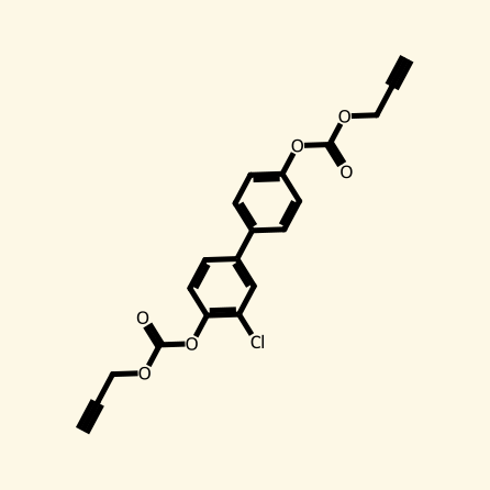 C#CCOC(=O)Oc1ccc(-c2ccc(OC(=O)OCC#C)c(Cl)c2)cc1